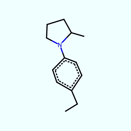 CCc1ccc(N2CCCC2C)cc1